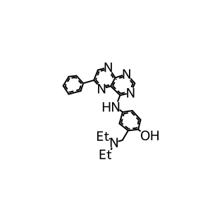 CCN(CC)Cc1cc(Nc2ncnc3ncc(-c4ccccc4)nc23)ccc1O